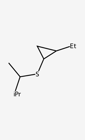 CCC1CC1SC(C)C(C)C